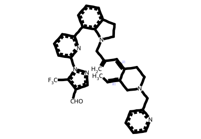 C=C(/C=C1/CCN(Cc2ccccn2)C/C1=C/C)CN1CCc2cccc(-c3cccc(-n4ncc(C=O)c4C(F)(F)F)n3)c21